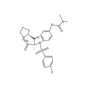 CN(C)C(=O)Oc1ccc(N([C@@](C)(C(=O)O)C(=O)[C@H]2NCCS2)S(=O)(=O)c2ccc(F)cc2)cc1